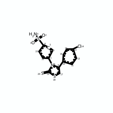 NS(=O)(=O)c1ccc(-n2c(-c3ccc(Cl)cc3)csc2=S)cc1